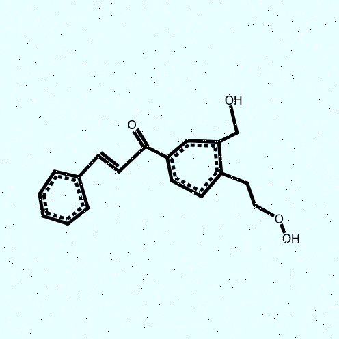 O=C(/C=C/c1ccccc1)c1ccc(CCOO)c(CO)c1